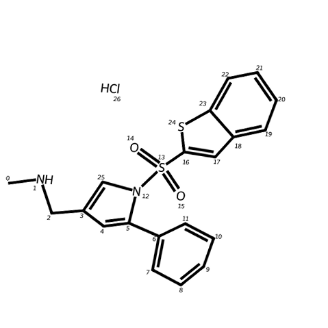 CNCc1cc(-c2ccccc2)n(S(=O)(=O)c2cc3ccccc3s2)c1.Cl